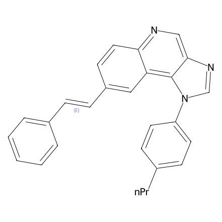 [CH2]CCc1ccc(-n2cnc3cnc4ccc(/C=C/c5ccccc5)cc4c32)cc1